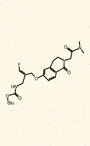 CN(C)C(=O)CN1CCc2cc(OC/C(=C\F)CNC(=O)OC(C)(C)C)ccc2C1=O